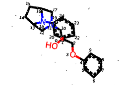 OC(COc1ccccc1)CN1CC2CCC(C1)N2c1ccccc1